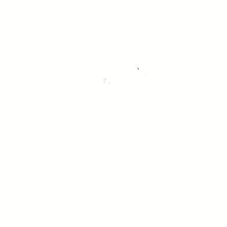 COc1ccc(OCCC(=O)N[C@H](CC2CCCC2)[C@H](O)c2sccc2C)cc1